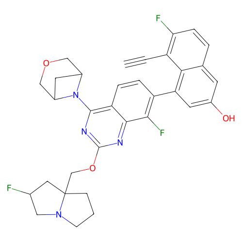 C#Cc1c(F)ccc2cc(O)cc(-c3ccc4c(N5C6COCC5C6)nc(OCC56CCCN5CC(F)C6)nc4c3F)c12